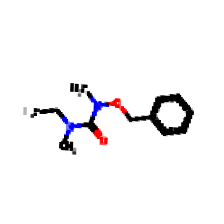 CCN(C)C(=O)N(C)OCc1ccccc1